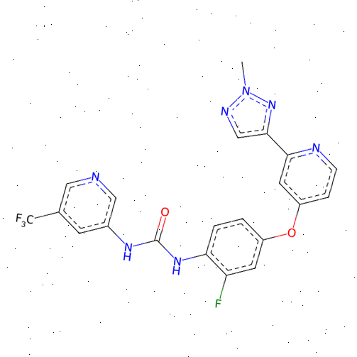 Cn1ncc(-c2cc(Oc3ccc(NC(=O)Nc4cncc(C(F)(F)F)c4)c(F)c3)ccn2)n1